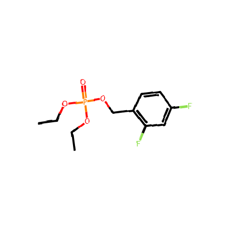 CCOP(=O)(OCC)OCc1ccc(F)cc1F